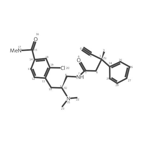 C#C[C@@](C)(CC(=O)NC[C@H](Cc1ccc(C(=O)NC)cc1Cl)N(C)C)c1ccccc1